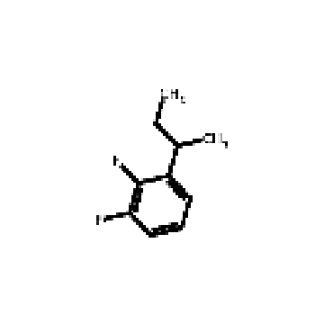 CCC(C)c1cccc(F)c1F